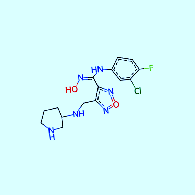 O/N=C(/Nc1ccc(F)c(Cl)c1)c1nonc1CNC1CCCNC1